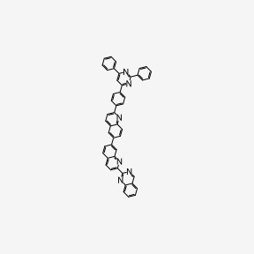 c1ccc(-c2cc(-c3ccc(-c4ccc5cc(-c6ccc7ccc(-c8ncc9ccccc9n8)nc7c6)ccc5n4)cc3)nc(-c3ccccc3)n2)cc1